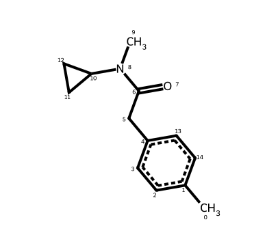 Cc1ccc(CC(=O)N(C)C2CC2)cc1